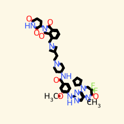 COc1cc(C(=O)NC2CCN(CCC3CN(Cc4cccc5c4C(=O)N(C4CCC(=O)NC4=O)C5=O)C3)CC2)ccc1Nc1ncc2c(n1)N(C1CCCC1)CC(F)(F)C(=O)N2C